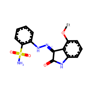 CCOc1cccc2c1/C(=N/Nc1ccccc1S(N)(=O)=O)C(=O)N2